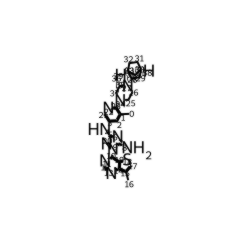 Cc1cc(Nc2nc(N)n(-c3ncnc4c(C)csc34)n2)cnc1N1CCN([C@H]2C[C@@H]3CC[C@H]2C3)[C@@H](C)C1